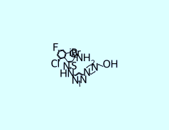 Cc1nc(Nc2nc(-c3c(Cl)cc(F)cc3C(C)C)c(C(N)=O)s2)cc(N2CCN(CCO)CC2)n1